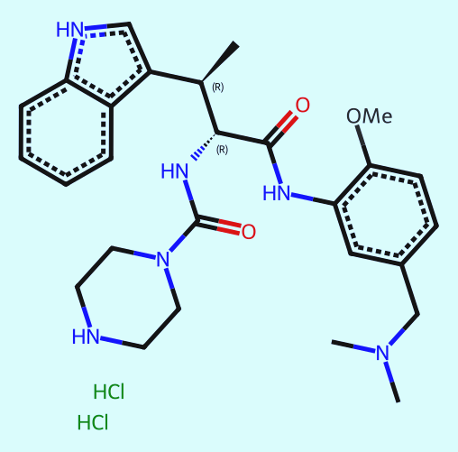 COc1ccc(CN(C)C)cc1NC(=O)[C@H](NC(=O)N1CCNCC1)[C@H](C)c1c[nH]c2ccccc12.Cl.Cl